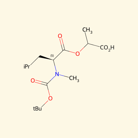 CC(C)C[C@@H](C(=O)OC(C)C(=O)O)N(C)C(=O)OC(C)(C)C